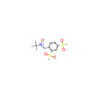 CC(C)(C)[N+]([O-])=Cc1ccc(S(C)(=O)=O)cc1S(C)(=O)=O